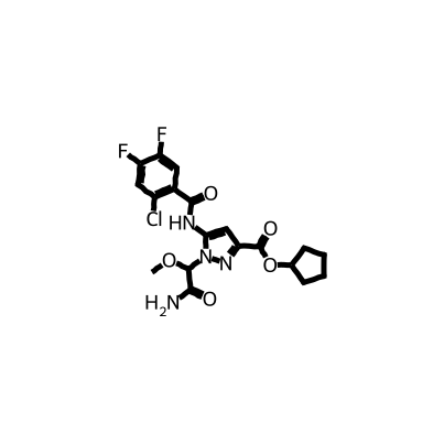 COC(C(N)=O)n1nc(C(=O)OC2CCCC2)cc1NC(=O)c1cc(F)c(F)cc1Cl